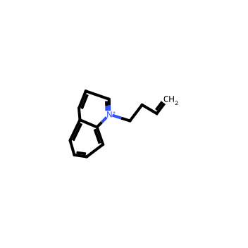 C=CCC[n+]1cccc2ccccc21